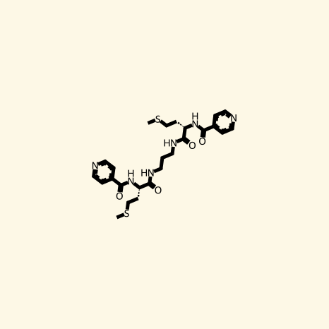 CSCC[C@H](NC(=O)c1ccncc1)C(=O)NCCCNC(=O)[C@H](CCSC)NC(=O)c1ccncc1